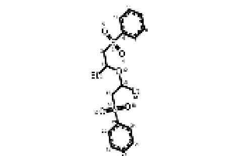 CCC(CS(=O)(=O)c1ccccc1)OC(CC)CS(=O)(=O)c1ccccc1